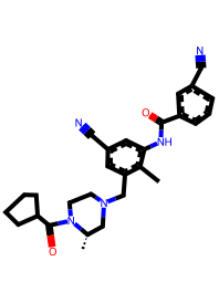 Cc1c(CN2CCN(C(=O)C3CCCC3)[C@@H](C)C2)cc(C#N)cc1NC(=O)c1cccc(C#N)c1